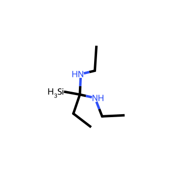 CCNC([SiH3])(CC)NCC